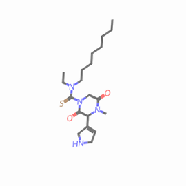 CCCCCCCCN(CC)C(=S)N1CC(=O)N(C)C(C2=CCNC2)C1=O